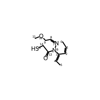 C/C=C\C(=C/C)N(/N=C\COC)C(=O)CS